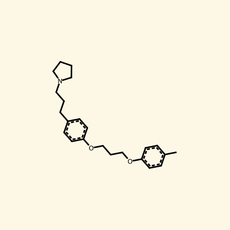 Cc1ccc(OCCCOc2ccc(CCCN3CCCC3)cc2)cc1